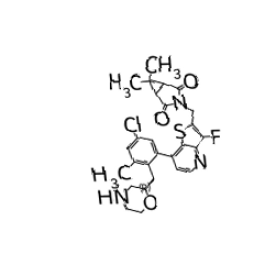 Cc1cc(Cl)cc(-c2ccnc3c(F)c(CN4C(=O)C5C(C4=O)C5(C)C)sc23)c1C[C@@H]1CNCCO1